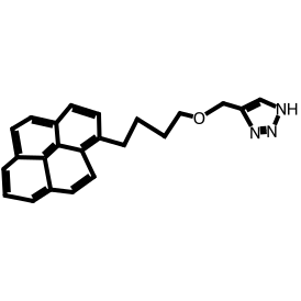 c1cc2ccc3ccc(CCCCOCc4c[nH]nn4)c4ccc(c1)c2c34